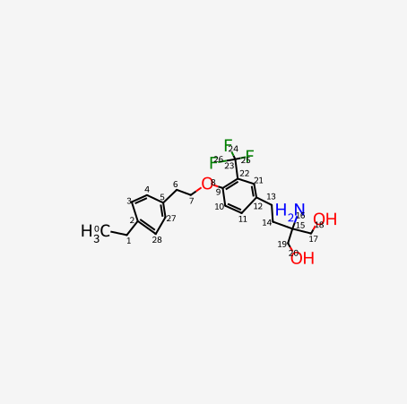 CCc1ccc(CCOc2ccc(CCC(N)(CO)CO)cc2C(F)(F)F)cc1